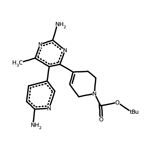 Cc1nc(N)nc(C2=CCN(C(=O)OC(C)(C)C)CC2)c1-c1ccc(N)nc1